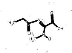 C=C(CC)/N=C(/C(=O)O)N(C)Cl